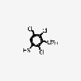 Sc1cc(Cl)c(Cl)c(Cl)c1Cl.[Zn]